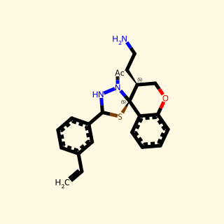 C=Cc1cccc(C2NN(C(C)=O)[C@@]3(S2)c2ccccc2OC[C@@H]3CCN)c1